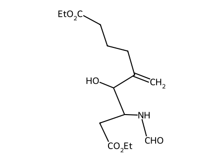 C=C(CCCC(=O)OCC)C(O)C(CC(=O)OCC)NC=O